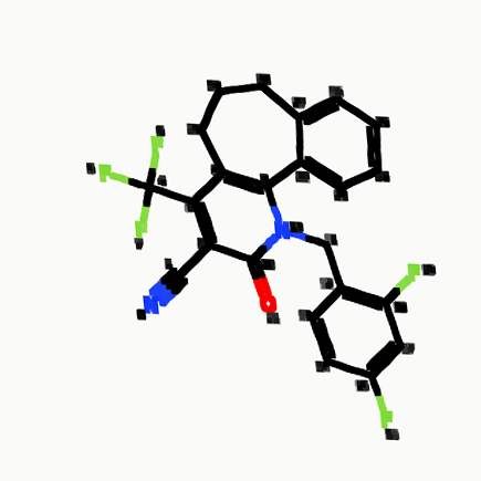 N#Cc1c(C(F)(F)F)c2c(n(Cc3ccc(F)cc3F)c1=O)-c1ccccc1CCC2